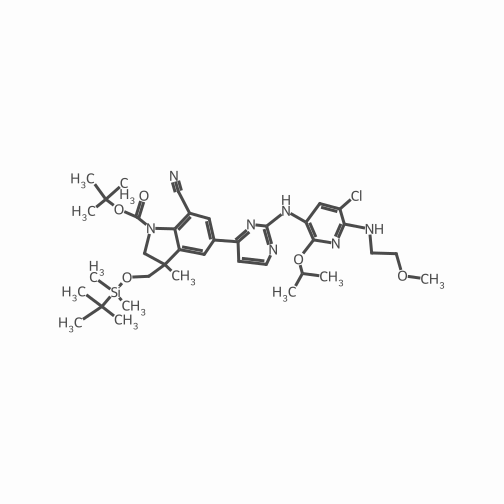 COCCNc1nc(OC(C)C)c(Nc2nccc(-c3cc(C#N)c4c(c3)C(C)(CO[Si](C)(C)C(C)(C)C)CN4C(=O)OC(C)(C)C)n2)cc1Cl